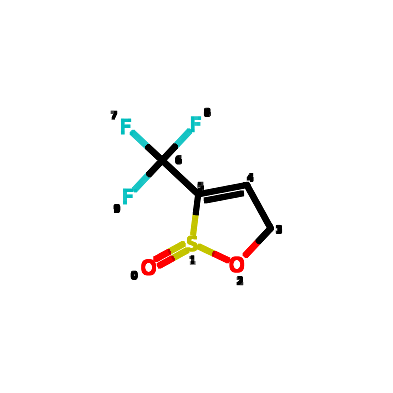 O=S1OCC=C1C(F)(F)F